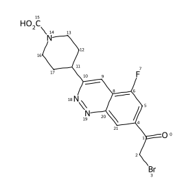 O=C(CBr)c1cc(F)c2cc(C3CCN(C(=O)O)CC3)nnc2c1